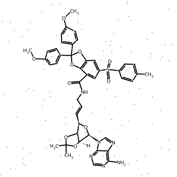 COc1ccc(C2(c3ccc(OC)cc3)Oc3cc(S(=O)(=O)c4ccc(C)cc4)cc(C(=O)NC/C=C/[C@H]4O[C@@H](n5cnc6c(N)ncnc65)[C@H]5OC(C)(C)OC45)c3O2)cc1